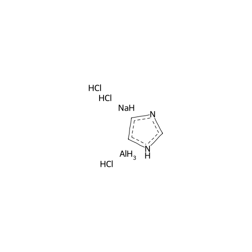 Cl.Cl.Cl.[AlH3].[NaH].c1c[nH]cn1